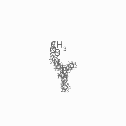 CCOC(=O)CC1CCN(c2ccc(-c3ccc(OCc4ccccc4)nc3OCc3ccccc3)c(F)c2)CC1